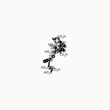 O=C(O)CC[C@H](NC(=O)N[C@@H](CCCCNC(=O)[C@H](Cc1ccc2ccccc2c1)NC(=O)[C@H]1CC[C@H](CNC(=O)[C@H](CCC(=O)O)NC(=O)[C@H](Cc2c[nH]cn2)NC(=O)[C@H](CCC(=O)O)NC(=O)[C@H](Cc2cnc[nH]2)NC(=O)[C@H](CCC(=O)O)NC(=O)[C@H](Cc2cnc[nH]2)NC(=O)CN2CCN(CC(=O)O)CCN(CC(=O)O)CCN(CC(=O)O)CC2)CC1)C(=O)O)C(=O)O